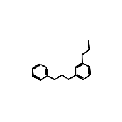 CCCc1cccc(CCCc2ccccc2)c1